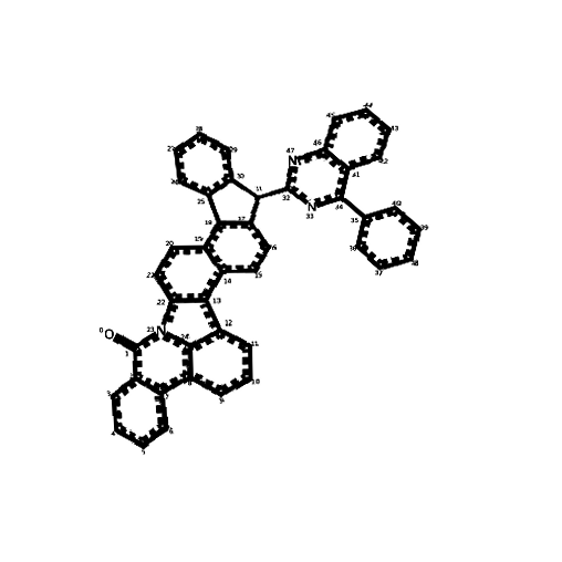 O=c1c2ccccc2c2cccc3c4c5ccc6c(c5ccc4n1c23)-c1ccccc1C6c1nc(-c2ccccc2)c2ccccc2n1